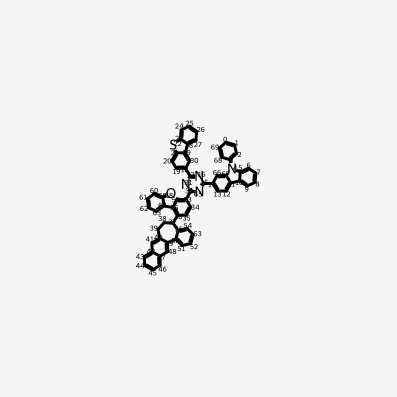 c1ccc(-n2c3ccccc3c3ccc(-c4nc(-c5ccc6sc7ccccc7c6c5)nc(-c5ccc(C6CCc7cc8ccccc8cc7-c7ccccc76)c6c5oc5ccccc56)n4)cc32)cc1